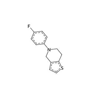 Fc1ccc(N2CCc3sccc3C2)cc1